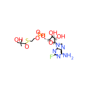 CC(C)(CO)C(=O)SCCO[PH](=O)OC[C@H]1O[C@@H](n2cnc3c(N)nc(F)nc32)[C@@H](O)[C@@H]1O